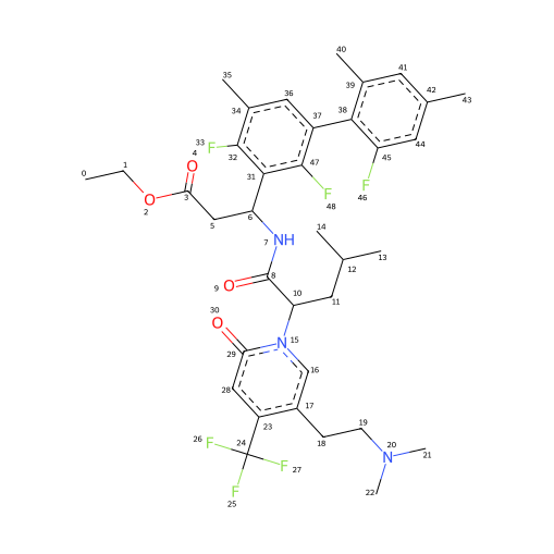 CCOC(=O)CC(NC(=O)C(CC(C)C)n1cc(CCN(C)C)c(C(F)(F)F)cc1=O)c1c(F)c(C)cc(-c2c(C)cc(C)cc2F)c1F